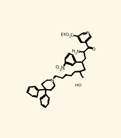 CCOC(=O)c1cncc(C(=O)C(N)CC(CC(C)CCCCCN2CCC(c3ccccc3)(c3ccccc3)CC2)c2cccc([N+](=O)[O-])c2)c1.Cl